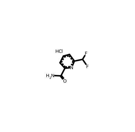 Cl.NC(=O)c1cccc(C(F)F)n1